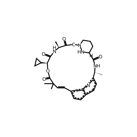 C[C@@H]1NC(=O)[C@H](C2CC2)OC(=O)C(C)(C)/C=C/c2ccc3ccc(nc3c2)[C@@H](C)NC(=O)[C@@H]2CCCN(CC1=O)N2